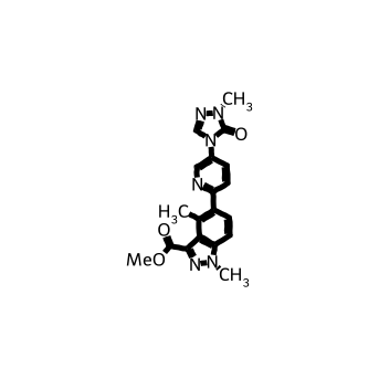 COC(=O)c1nn(C)c2ccc(-c3ccc(-n4cnn(C)c4=O)cn3)c(C)c12